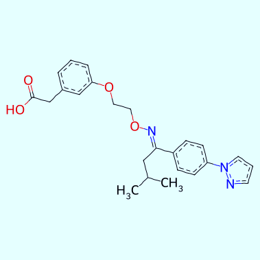 CC(C)C/C(=N\OCCOc1cccc(CC(=O)O)c1)c1ccc(-n2cccn2)cc1